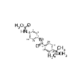 CC(=O)Nc1ccc([N]C(=O)c2ccc(C(C)(C)C)cc2)cc1